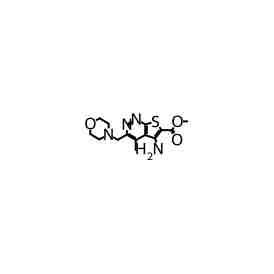 COC(=O)c1sc2nnc(CN3CCOCC3)c(C)c2c1N